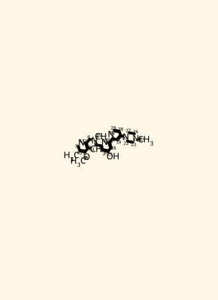 COc1c(C)cnc(CN(C)Cc2cc(O)cc(-c3cc(N4CCN(C)CC4)ccn3)n2)c1C